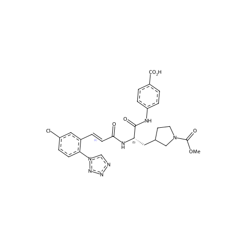 COC(=O)N1CCC(C[C@H](NC(=O)/C=C/c2cc(Cl)ccc2-n2cnnn2)C(=O)Nc2ccc(C(=O)O)cc2)C1